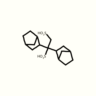 O=S(=O)(O)CC(C1CC2CCC1C2)(C1CC2CCC1C2)S(=O)(=O)O